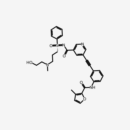 Cc1ccoc1C(=O)Nc1cccc(C#Cc2cncc(C(=O)N=[S@](=O)(CCCN(C)CCO)c3ccccc3)c2)c1